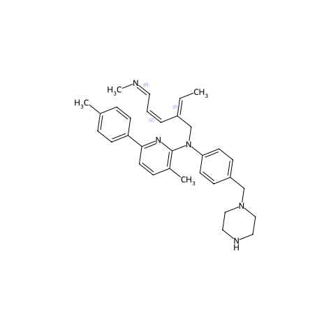 C/C=C(/C=C\C=N/C)CN(c1ccc(CN2CCNCC2)cc1)c1nc(-c2ccc(C)cc2)ccc1C